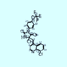 CC1(Cc2ccnc3c(Cl)cccc23)NC(=O)N(c2ccc(OC(F)(F)F)cc2)C1=O